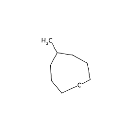 CC1CCCCCCC1